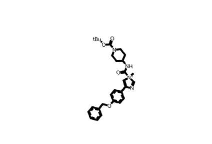 CC(C)(C)OC(=O)N1CCC(NC(=O)[N+]2(C)C=NC(c3ccc(OCc4ccccc4)cc3)=C2)CC1